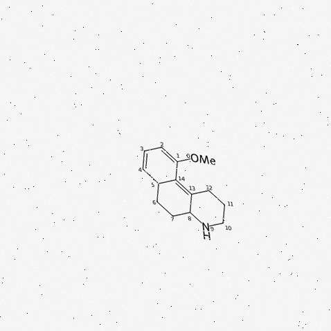 COC1=CC=CC2CCC3NCCCC3=C12